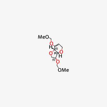 COCOC1=CCO[C@@H]2[C@@H](OCOC)CO[C@H]12